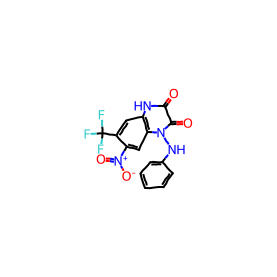 O=c1[nH]c2cc(C(F)(F)F)c([N+](=O)[O-])cc2n(Nc2ccccc2)c1=O